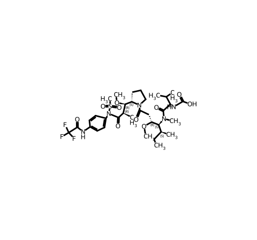 CC[C@H](C)[C@@H]([C@@H](CC(=O)N1CCC[C@H]1[C@H](OC)[C@@H](C)C(=O)N(c1ccc(NC(=O)C(F)(F)F)cc1)S(C)(=O)=O)OC)N(C)C(=O)[C@@H](NC(=O)O)C(C)C